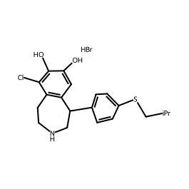 Br.CC(C)CSc1ccc(C2CNCCc3c2cc(O)c(O)c3Cl)cc1